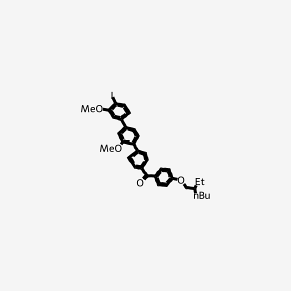 CCCCC(CC)COc1ccc(C(=O)c2ccc(-c3ccc(-c4ccc(I)c(OC)c4)cc3OC)cc2)cc1